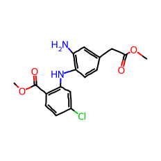 COC(=O)Cc1ccc(Nc2cc(Cl)ccc2C(=O)OC)c(N)c1